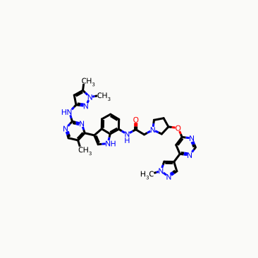 Cc1cnc(Nc2cc(C)n(C)n2)nc1-c1c[nH]c2c(NC(=O)CN3CCC(Oc4cc(-c5cnn(C)c5)ncn4)C3)cccc12